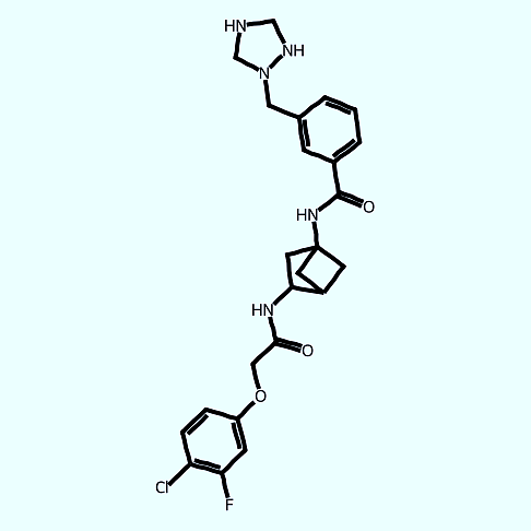 O=C(COc1ccc(Cl)c(F)c1)NC1CC2(NC(=O)c3cccc(CN4CNCN4)c3)CC1C2